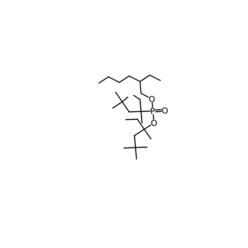 CCCCC(CC)COP(=O)(OC(C)(CC)CC(C)(C)C)C(C)(CC)CC(C)(C)C